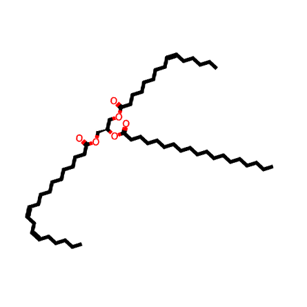 CCCCC/C=C\C/C=C\CCCCCCCCCC(=O)OC[C@@H](COC(=O)CCCCCCC/C=C\CCCCC)OC(=O)CCCCCCCCCCCCCCCCCC